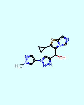 Cn1cc(-n2cc(C(O)c3c(C4CC4)sc4cncn34)nn2)cn1